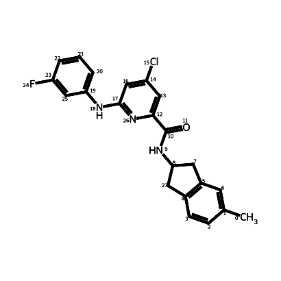 Cc1ccc2c(c1)CC(NC(=O)c1cc(Cl)cc(Nc3cccc(F)c3)n1)C2